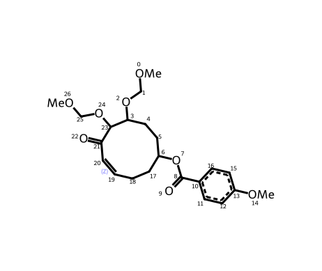 COCOC1CCC(OC(=O)c2ccc(OC)cc2)CC/C=C\C(=O)C1OCOC